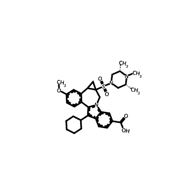 COc1ccc2c(c1)C1CC1(S(=O)(=O)N1C[C@@H](C)N(C)[C@@H](C)C1)Cn1c-2c(C2CCCCC2)c2ccc(C(=O)O)cc21